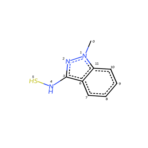 Cn1nc(NS)c2ccccc21